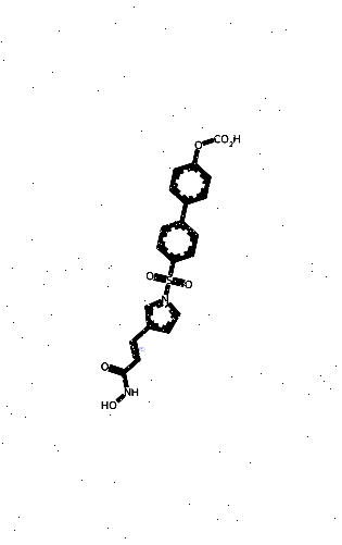 O=C(/C=C/c1ccn(S(=O)(=O)c2ccc(-c3ccc(OC(=O)O)cc3)cc2)c1)NO